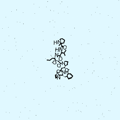 CC[C@H](C)[C@@H]([C@@H](CC(=O)N1CCC[C@H]1C(OC)[C@@H](C)C(=O)N[C@@H](CC1C=CC=CC1)c1nccs1)OC)N(C)C(=O)[C@@H](NC(=O)C1(C)CCCCN1)C(C)C